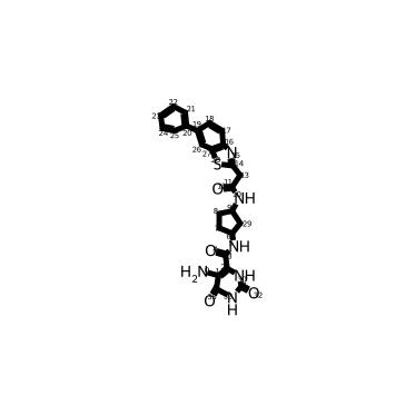 Nc1c(C(=O)NC2CCC(NC(=O)Cc3nc4ccc(-c5ccccc5)cc4s3)C2)[nH]c(=O)[nH]c1=O